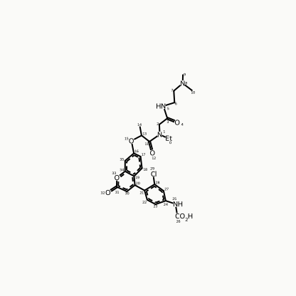 CCN(CC(=O)NCCN(C)C)C(=O)C(C)Oc1ccc2c(-c3ccc(NC(=O)O)cc3Cl)cc(=O)oc2c1